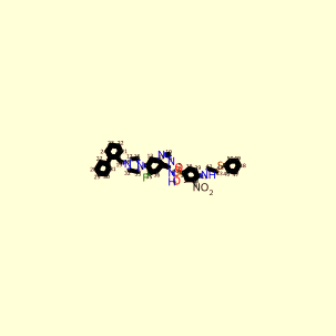 O=[N+]([O-])c1cc(S(=O)(=O)Nc2ncnc3cc(N4CCN(Cc5ccccc5-c5ccccc5)CC4)c(F)cc23)ccc1NCCSc1ccccc1